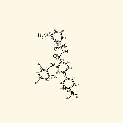 Cc1cc(C)c(Oc2nc(-c3cnc(N(C)C)nc3)ccc2C(=O)NS(=O)(=O)c2cccc(N)n2)c(C)c1